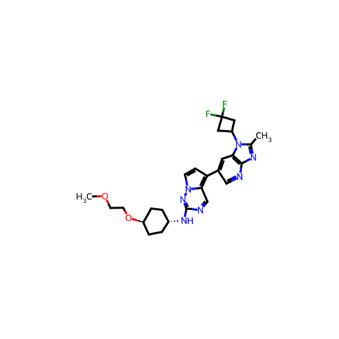 COCCO[C@H]1CC[C@H](Nc2ncc3c(-c4cnc5nc(C)n(C6CC(F)(F)C6)c5c4)ccn3n2)CC1